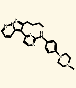 CCCCc1nn2ncccc2c1-c1ccnc(Nc2ccc(N3CCN(C)CC3)cc2)n1